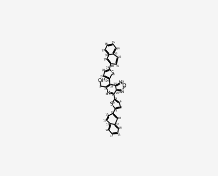 OCc1nc(-c2ccc(-c3ccc4ccccc4c3)s2)c2nonc2c1-c1ccc(-c2ccc3ccccc3c2)s1